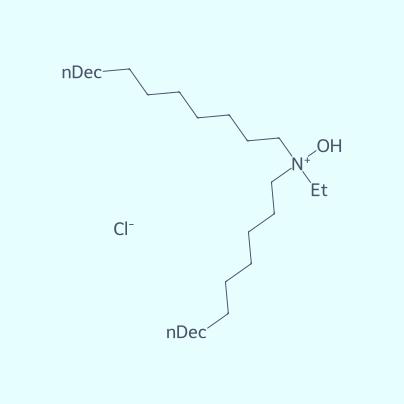 CCCCCCCCCCCCCCCCC[N+](O)(CC)CCCCCCCCCCCCCCCC.[Cl-]